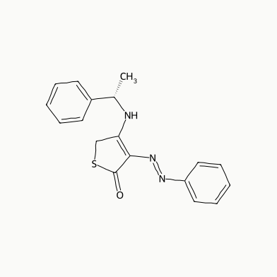 C[C@H](NC1=C(N=Nc2ccccc2)C(=O)SC1)c1ccccc1